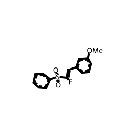 COc1cccc(/C=C(\F)S(=O)(=O)c2ccccc2)c1